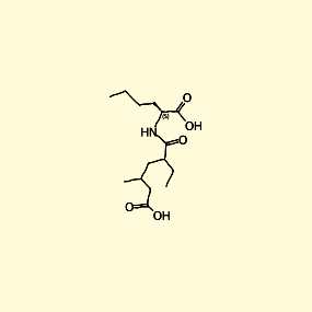 CCCC[C@H](NC(=O)C(CC)CC(C)CC(=O)O)C(=O)O